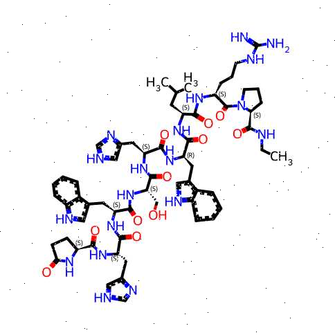 CCNC(=O)[C@@H]1CCCN1C(=O)[C@H](CCCNC(=N)N)NC(=O)[C@H](CC(C)C)NC(=O)[C@@H](Cc1c[nH]c2ccccc12)NC(=O)[C@H](Cc1c[nH]cn1)NC(=O)[C@H](CO)NC(=O)[C@H](Cc1c[nH]c2ccccc12)NC(=O)[C@H](Cc1c[nH]cn1)NC(=O)[C@@H]1CCC(=O)N1